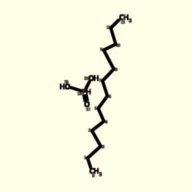 CCCCCCCCCCCCC.O=[PH](O)O